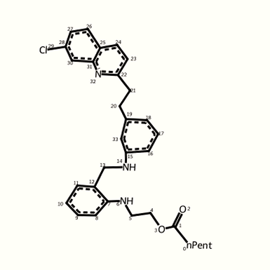 CCCCCC(=O)OCCNc1ccccc1CNc1cccc(CCc2ccc3ccc(Cl)cc3n2)c1